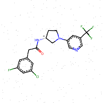 O=C(Cc1cc(F)cc(Cl)c1)N[C@@H]1CCN(c2cncc(C(F)(F)F)c2)C1